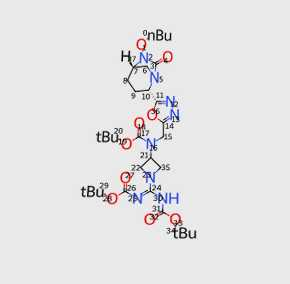 CCCCON1C(=O)N2C[C@@H]1CC[C@H]2c1nnc(CN(C(=O)OC(C)(C)C)C2CN(/C(=N\C(=O)OC(C)(C)C)NC(=O)OC(C)(C)C)C2)o1